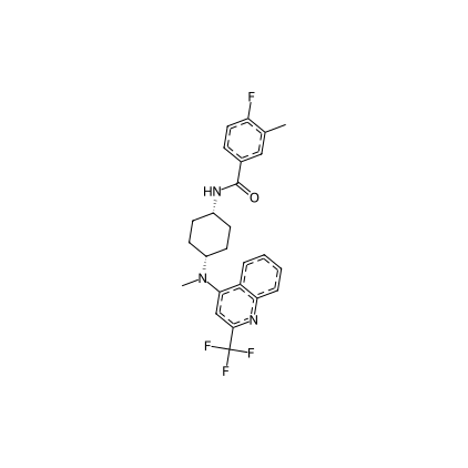 Cc1cc(C(=O)N[C@H]2CC[C@@H](N(C)c3cc(C(F)(F)F)nc4ccccc34)CC2)ccc1F